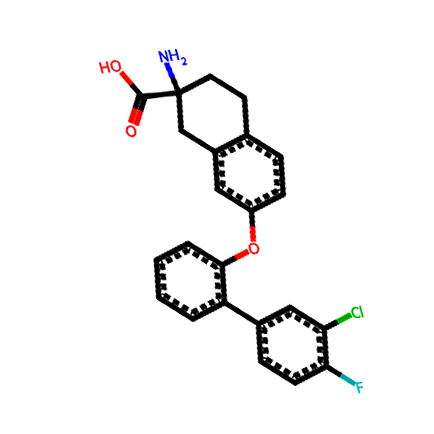 NC1(C(=O)O)CCc2ccc(Oc3ccccc3-c3ccc(F)c(Cl)c3)cc2C1